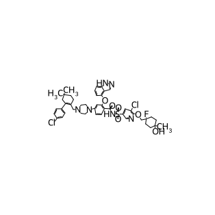 CC1(C)CCC(CN2CCN(c3ccc(C(=O)NS(=O)(=O)c4cnc(OC[C@]5(F)CC[C@@](C)(O)CC5)c(Cl)c4)c(Oc4cccc5[nH]ncc45)c3)CC2)=C(c2ccc(Cl)cc2)C1